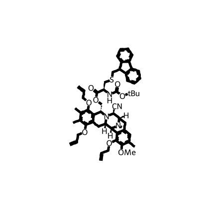 C=CCOc1c(C)c(C)c(OCC=C)c2c1C[C@H]1[C@H]3c4c(cc(C)c(OC)c4OCC=C)C[C@@H]([C@H](C#N)N1[C@H]2COC(=O)[C@@H](CSCC1c2ccccc2-c2ccccc21)NC(=O)OC(C)(C)C)N3C